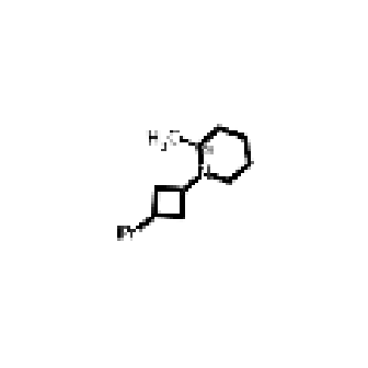 CC(C)C1CC(N2CCCC[C@@H]2C)C1